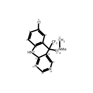 CCC1(C(F)(F)F)c2cc(Cl)ccc2Nc2ncncc21.CNC